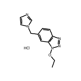 CCOn1nnc2ccc(Cn3ccnc3)cc21.Cl